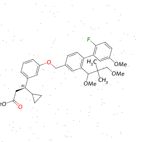 COCC(C)(C)C(OC)c1cc(COc2cccc([C@H](CC(=O)OC)C3CC3)c2)ccc1-c1cc(OC)ccc1F